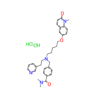 CN(C)C(=O)c1ccc(CN(CCCCCOc2ccc3c(ccc(=O)n3C)c2)CCc2cccnc2)cc1.Cl.Cl